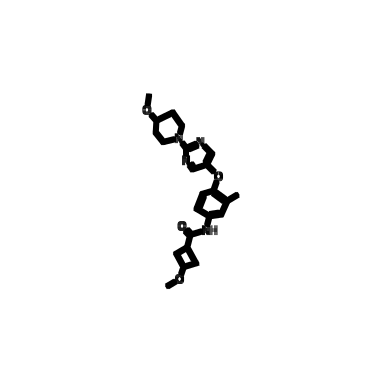 COC1CCN(c2ncc(Oc3ccc(NC(=O)C4CC(OC)C4)cc3C)cn2)CC1